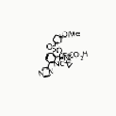 CO[C@H]1CC[C@H](S(=O)(=O)c2ccc(-c3cnccn3)cc2C(F)(F)F)C1.N#CC1(NC(=O)O)CC1